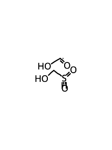 O=[C]O.O=[SH](=O)CO